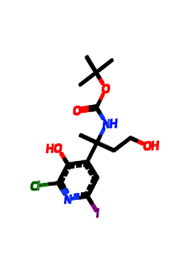 CC(C)(C)OC(=O)NC(C)(CCO)c1cc(I)nc(Cl)c1O